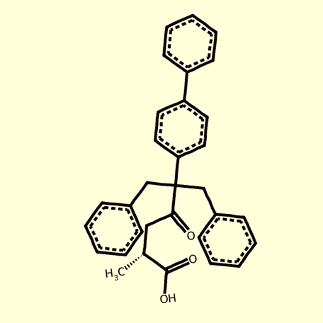 C[C@H](CC(=O)C(Cc1ccccc1)(Cc1ccccc1)c1ccc(-c2ccccc2)cc1)C(=O)O